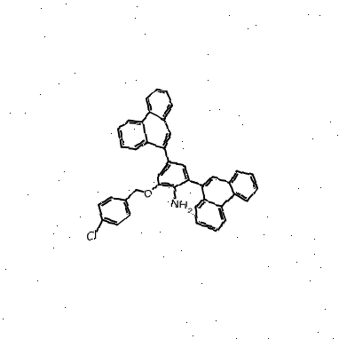 Nc1c(OCc2ccc(Cl)cc2)cc(-c2cc3ccccc3c3ccccc23)cc1-c1cc2ccccc2c2ccccc12